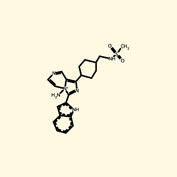 CS(=O)(=O)NCC1CCC(C2=C3C=NC=C[N+]3(N)C(c3cc4ccccc4[nH]3)=N2)CC1